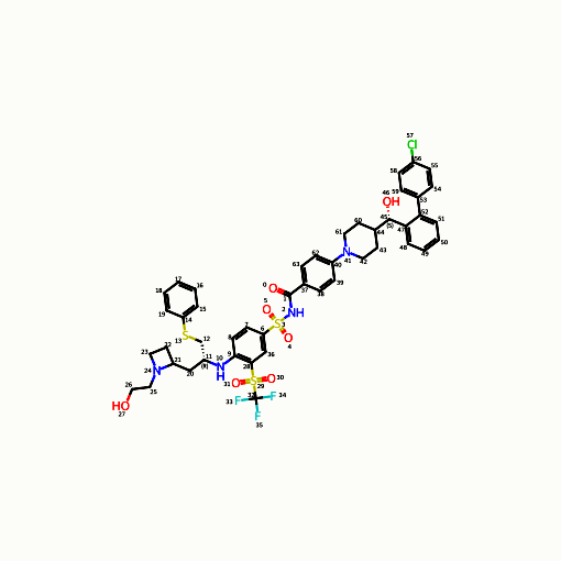 O=C(NS(=O)(=O)c1ccc(N[C@@H](CSc2ccccc2)CC2CCN2CCO)c(S(=O)(=O)C(F)(F)F)c1)c1ccc(N2CCC([C@H](O)c3ccccc3-c3ccc(Cl)cc3)CC2)cc1